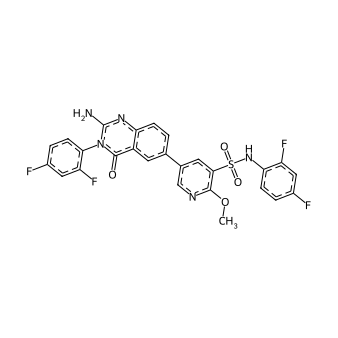 COc1ncc(-c2ccc3nc(N)n(-c4ccc(F)cc4F)c(=O)c3c2)cc1S(=O)(=O)Nc1ccc(F)cc1F